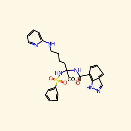 O=C(NC(CCCCNc1ccccn1)(NS(=O)(=O)c1ccccc1)C(=O)O)c1cccc2cn[nH]c12